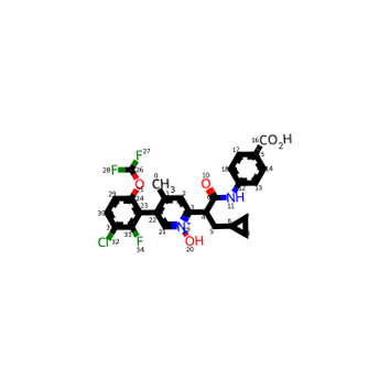 Cc1cc(C(CC2CC2)C(=O)Nc2ccc(C(=O)O)cc2)[n+](O)cc1-c1c(OC(F)F)ccc(Cl)c1F